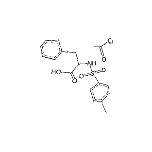 CC(=O)Cl.Cc1ccc(S(=O)(=O)NC(Cc2ccccc2)C(=O)O)cc1